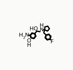 Nc1cc(C(O)CNC2(Cc3ccc(F)cc3)CCCC2)ccc1O